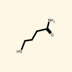 NC(=O)CCCO